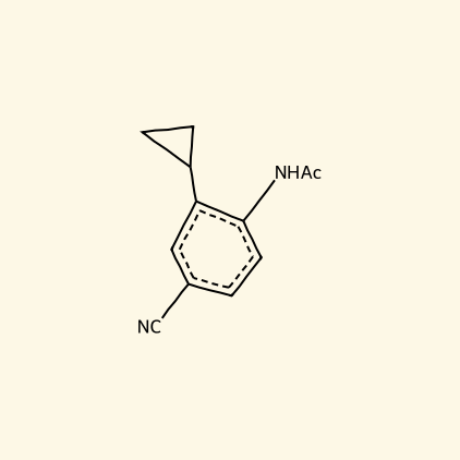 CC(=O)Nc1ccc(C#N)cc1C1CC1